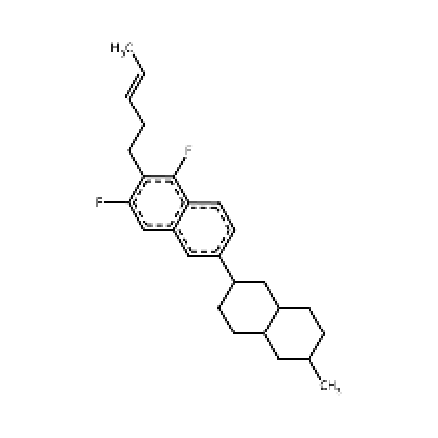 CC=CCCc1c(F)cc2cc(C3CCC4CC(C)CCC4C3)ccc2c1F